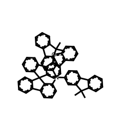 CC1(C)c2ccccc2-c2ccc(N(c3ccc4c(c3)C(C)(C)c3ccccc3-4)c3cccc4c3C3(c5ccccc5-4)c4ccccc4-c4c3ccc3c4oc4ccccc43)cc21